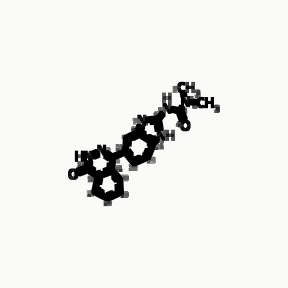 CN(C)C(=O)Nc1nc2cc(-c3n[nH]c(=O)c4ccccc34)ccc2[nH]1